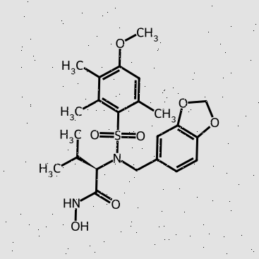 COc1cc(C)c(S(=O)(=O)N(Cc2ccc3c(c2)OCO3)[C@@H](C(=O)NO)C(C)C)c(C)c1C